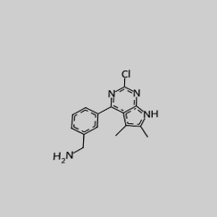 Cc1[nH]c2nc(Cl)nc(-c3cccc(CN)c3)c2c1C